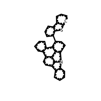 c1ccc2c(c1)sc1c(-c3ccc4c5c3c3ccccc3c3ccc6c7ccccc7n4c6c35)cccc12